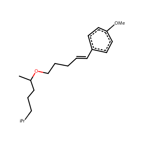 COc1ccc(C=CCCCOC(C)CCCC(C)C)cc1